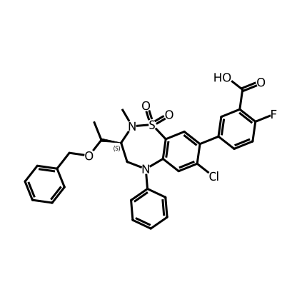 CC(OCc1ccccc1)[C@@H]1CN(c2ccccc2)c2cc(Cl)c(-c3ccc(F)c(C(=O)O)c3)cc2S(=O)(=O)N1C